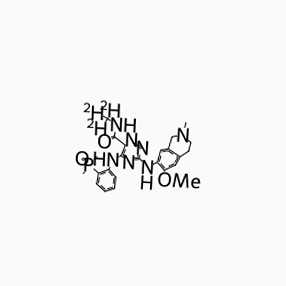 [2H]C([2H])([2H])NC(=O)c1nnc(Nc2cc3c(cc2OC)CCN(C)C3)nc1Nc1ccccc1P(C)(C)=O